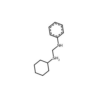 c1ccc(NC[SiH2]C2CCCCC2)cc1